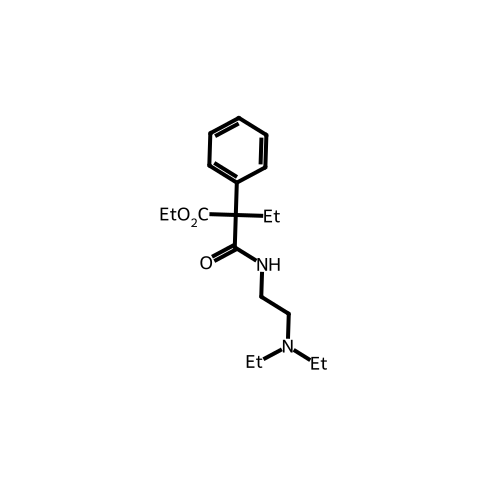 CCOC(=O)C(CC)(C(=O)NCCN(CC)CC)c1ccccc1